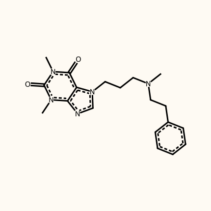 CN(CCCn1cnc2c1c(=O)n(C)c(=O)n2C)CCc1ccccc1